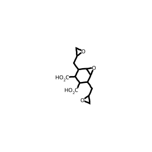 O=C(O)C1C(CC2CO2)C2OC2C(CC2CO2)C1C(=O)O